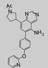 CC(=O)N1CCC(c2cc(-c3ccc(Oc4ccccn4)cc3)c(N)c3cncnc23)C1